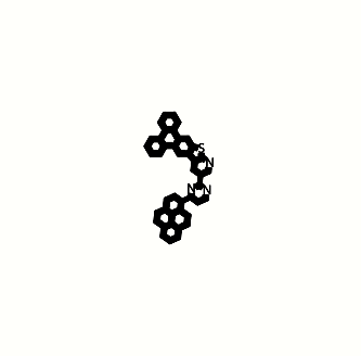 c1cc2ccc3ccc(-c4ccnc(-c5cnc6sc7cc8c9ccccc9c9ccccc9c8cc7c6c5)n4)c4ccc(c1)c2c34